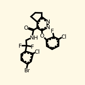 O=C(NCC(F)(F)c1ccc(Br)cc1Cl)c1c(Oc2cccc(Cl)c2F)nnc2c1CCC2